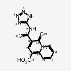 O=C(Nc1nnn[nH]1)c1cc(C(=O)O)c2ccccn2c1=O